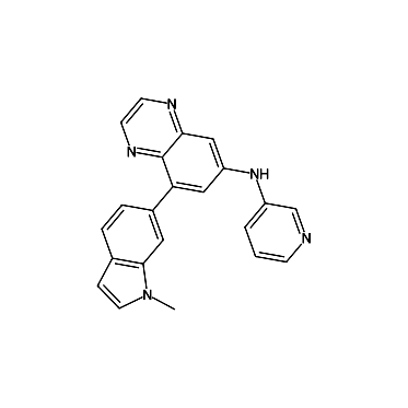 Cn1ccc2ccc(-c3cc(Nc4cccnc4)cc4nccnc34)cc21